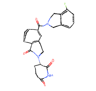 O=C1CCC(N2Cc3cc(C(=O)N4Cc5cccc(F)c5C4)ccc3C2=O)C(=O)N1